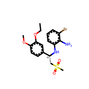 CCOc1cc([C@@H](CS(C)(=O)=O)Nc2cccc(Br)c2N)ccc1OC